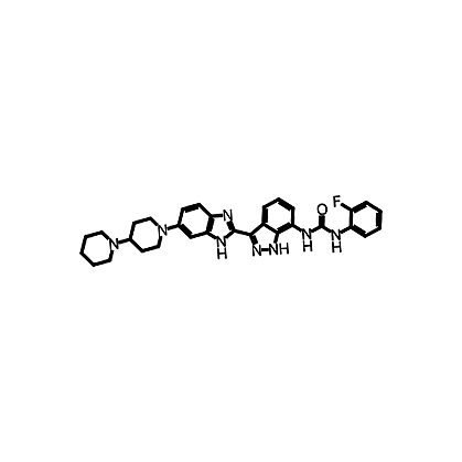 O=C(Nc1ccccc1F)Nc1cccc2c(-c3nc4ccc(N5CCC(N6CCCCC6)CC5)cc4[nH]3)n[nH]c12